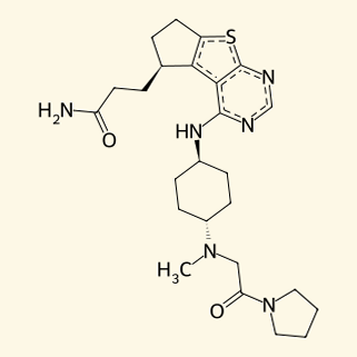 CN(CC(=O)N1CCCC1)[C@H]1CC[C@H](Nc2ncnc3sc4c(c23)[C@@H](CCC(N)=O)CC4)CC1